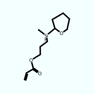 C=CC(=O)OCCC[SiH](C)C1CCCCO1